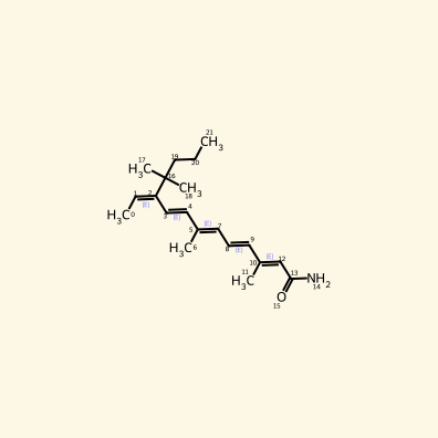 C\C=C(/C=C/C(C)=C/C=C/C(C)=C/C(N)=O)C(C)(C)CCC